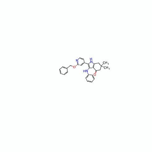 CC1(C)CC(=O)c2c([nH]c(-c3ccnc(OCc4ccccc4)c3)c2Nc2ccccc2)C1